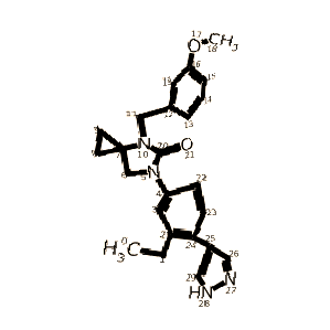 CCc1cc(N2CC3(CC3)N(Cc3cccc(OC)c3)C2=O)ccc1-c1cn[nH]c1